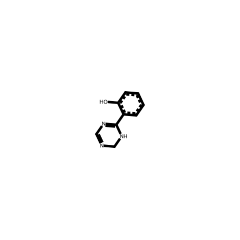 Oc1ccccc1C1=NC=NCN1